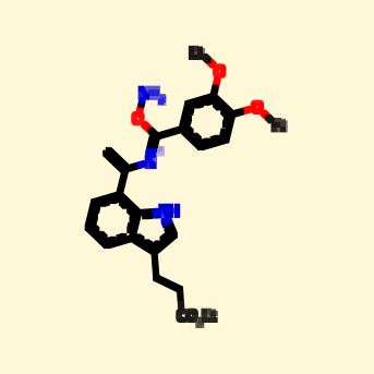 C=C(/N=C(\ON)c1ccc(OCC)c(OCC)c1)c1cccc2c(CCC(=O)OCC)c[nH]c12